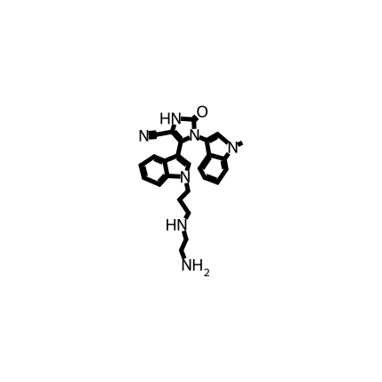 Cn1cc(-n2c(-c3cn(CCCNCCN)c4ccccc34)c(C#N)[nH]c2=O)c2ccccc21